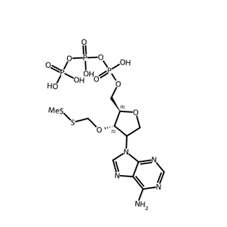 CSSCO[C@H]1C(n2cnc3c(N)ncnc32)CO[C@@H]1COP(=O)(O)OP(=O)(O)OP(=O)(O)O